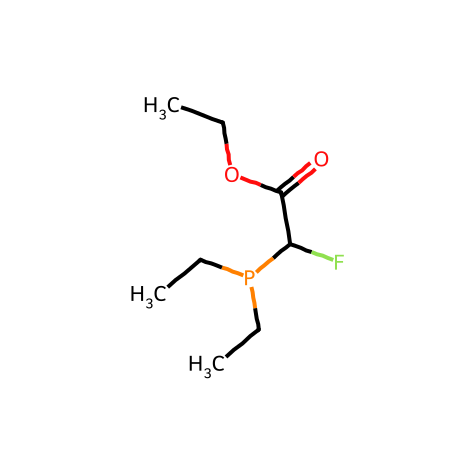 CCOC(=O)C(F)P(CC)CC